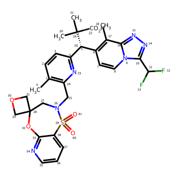 Cc1ccc([C@@H](c2ccn3c(C(F)F)nnc3c2C)C(C)(C)C(=O)O)nc1CN1CC2(COC2)Oc2ncccc2S1(=O)=O